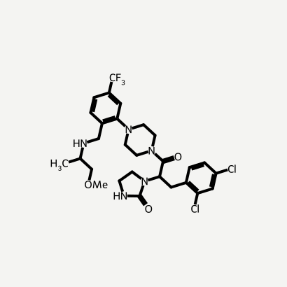 COCC(C)NCc1ccc(C(F)(F)F)cc1N1CCN(C(=O)C(Cc2ccc(Cl)cc2Cl)N2CCNC2=O)CC1